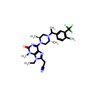 CCn1c(CC#N)nc2c(N3C[C@@H](C)N(C(C)c4ccc(C)c(C(F)(F)F)c4)C[C@@H]3C)nc(=O)n(C)c21